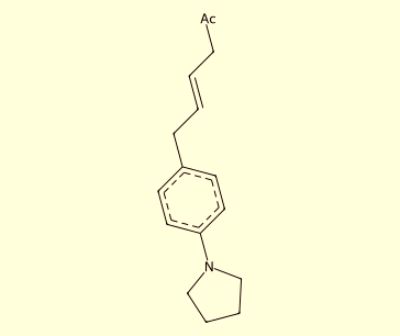 CC(=O)CC=CCc1ccc(N2CCCC2)cc1